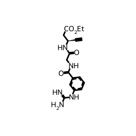 C#C[C@H](CC(=O)OCC)NC(=O)CNC(=O)c1cccc(NC(=N)N)c1